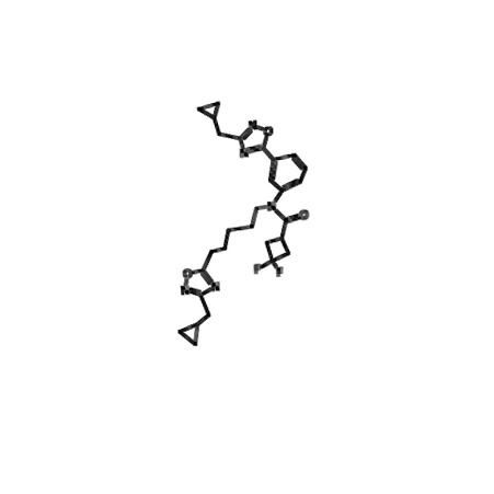 O=C(C1CC(F)(F)C1)N(CCCCCc1nc(CC2CC2)no1)c1cccc(-c2nc(CC3CC3)no2)c1